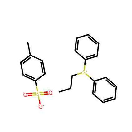 CCC[S+](c1ccccc1)c1ccccc1.Cc1ccc(S(=O)(=O)[O-])cc1